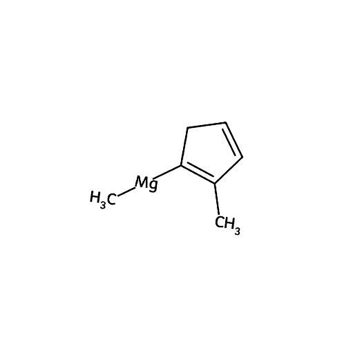 [CH3][Mg][C]1=C(C)C=CC1